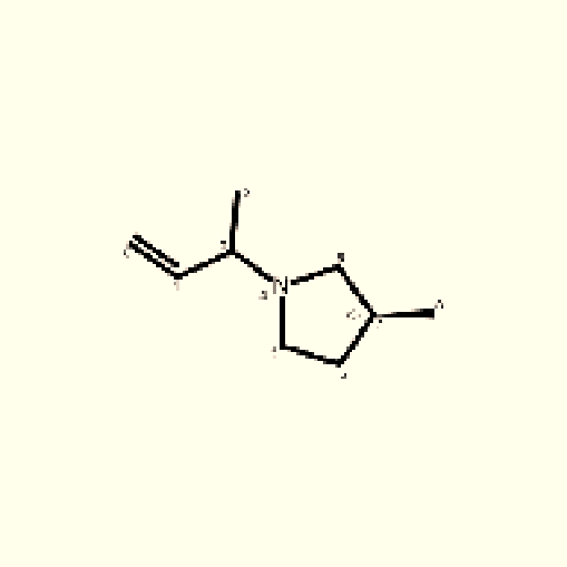 C=CC(C)N1CC[C@H](C)C1